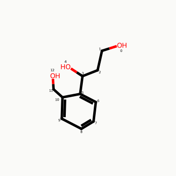 OCCC(O)c1ccccc1CO